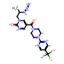 CC(Cn1cc(C(=O)N2CCN(c3ncc(C(F)(F)F)cn3)CC2)cnc1=O)N=[N+]=[N-]